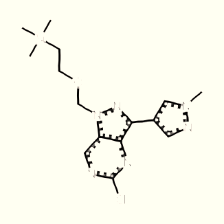 Cn1cc(-c2nn(COCC[Si](C)(C)C)c3cnc(Cl)nc23)cn1